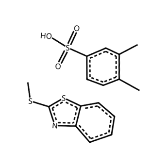 CSc1nc2ccccc2s1.Cc1ccc(S(=O)(=O)O)cc1C